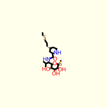 CCSCCC[C@@H]1CCNC(C(=O)N[C@H](C(C)C)[C@H]2O[C@H](SC)[C@H](O)[C@@H](O)[C@H]2O)C1